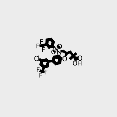 CC(C)(CC1CN(S(=O)(=O)c2cccc(C(F)(F)F)c2)c2cc(-c3cc(Cl)cc(C(F)(F)F)c3)ccc2O1)C(=O)O